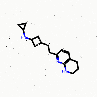 c1cc2c(nc1CCC1CC(NC3CC3)C1)NCCC2